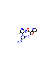 Cc1cncc(NC(=O)c2c(N)oc3cccnc23)c1N1CC[C@H](N)C1